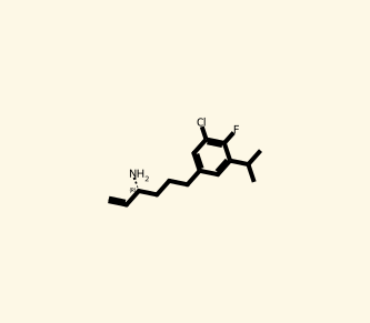 C=C[C@H](N)CCCc1cc(Cl)c(F)c(C(C)C)c1